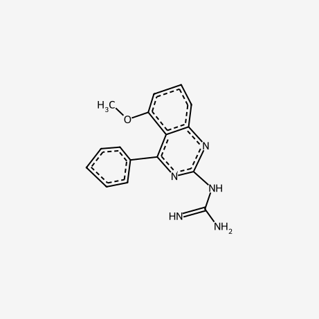 COc1cccc2nc(NC(=N)N)nc(-c3ccccc3)c12